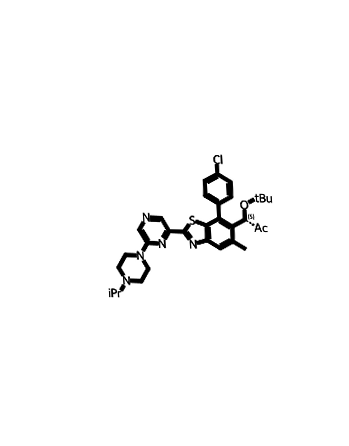 CC(=O)[C@@H](OC(C)(C)C)c1c(C)cc2nc(-c3cncc(N4CCN(C(C)C)CC4)n3)sc2c1-c1ccc(Cl)cc1